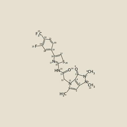 Cc1cc2c(c(=O)n(C)n2C)n1CC(=O)Nc1nc(-c2ccc(C(F)(F)F)c(F)c2)cs1